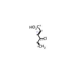 C=CC(Cl)/C=C/C(=O)O